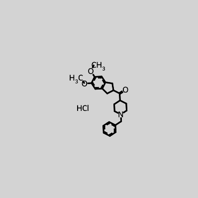 COc1cc2c(cc1OC)CC(C(=O)C1CCN(Cc3ccccc3)CC1)C2.Cl